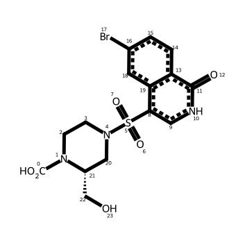 O=C(O)N1CCN(S(=O)(=O)c2c[nH]c(=O)c3ccc(Br)cc23)C[C@@H]1CO